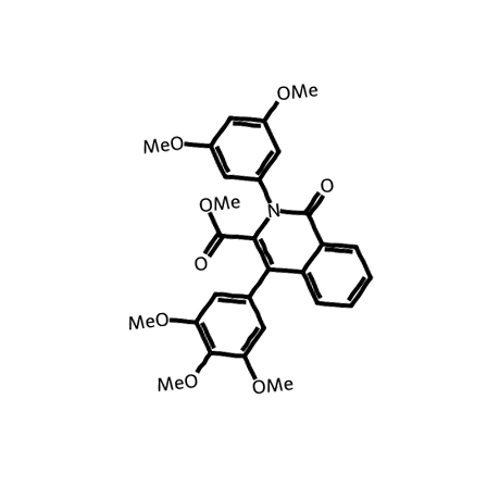 COC(=O)c1c(-c2cc(OC)c(OC)c(OC)c2)c2ccccc2c(=O)n1-c1cc(OC)cc(OC)c1